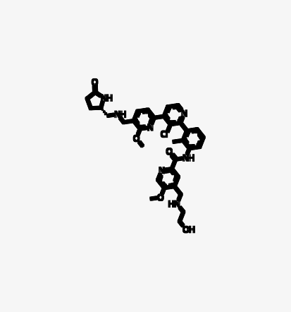 COc1cnc(C(=O)Nc2cccc(-c3nccc(-c4ccc(CNC[C@@H]5CCC(=O)N5)c(OC)n4)c3Cl)c2C)cc1CNCCO